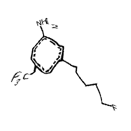 Nc1cc(CCCCF)cc(C(F)(F)F)c1